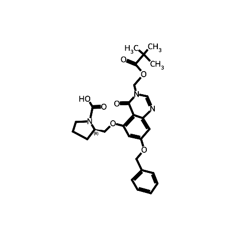 CC(C)(C)C(=O)OCn1cnc2cc(OCc3ccccc3)cc(OC[C@H]3CCCN3C(=O)O)c2c1=O